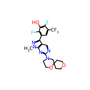 Cn1nc(-c2cc(C(F)(F)F)c(F)c(O)c2F)c2cnc(N3CCOC4(CCOCC4)C3)nc21